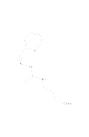 COCCCNC(=S)N/N=C\c1ccccn1